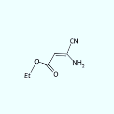 CCOC(=O)/C=C(\N)C#N